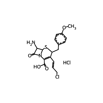 COc1ccc(CC2SC3C(N)C(=O)N3C(C(=O)O)=C2C=CCCl)cc1.Cl